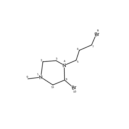 CN1CCN(CCCBr)C(Br)C1